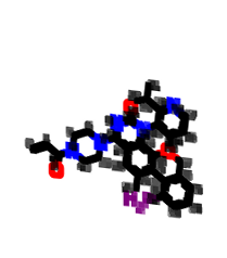 C=CC(=O)N1CCN(c2nc(=O)n(-c3c(C)ccnc3C(C)C)c3c4c(c(C)cc23)-c2c(P)cccc2CO4)CC1